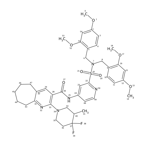 COc1ccc(CN(Cc2ccc(OC)cc2OC)S(=O)(=O)c2cc(NC(=O)c3cc4c(nc3N3CCC(F)(F)C(C)C3)CCCCC4)ccn2)c(OC)c1